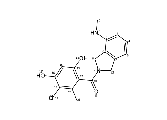 CNc1cccc2c1CN(C(=O)c1c(O)cc(O)c(Cl)c1C)C2